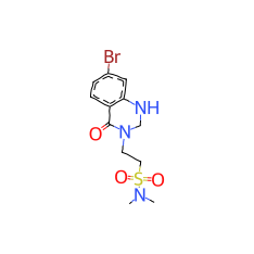 CN(C)S(=O)(=O)CCN1CNc2cc(Br)ccc2C1=O